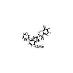 COc1ccc(C2COCCO2)c2sc(NC(=O)c3cccc(F)c3)nc12